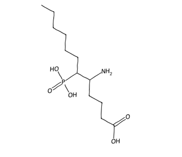 CCCCCCC(C(N)CCCC(=O)O)P(=O)(O)O